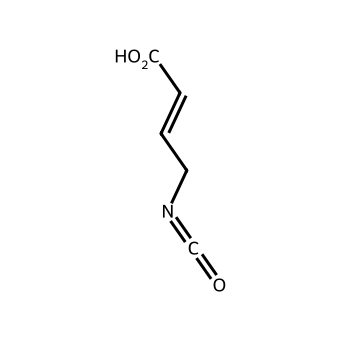 O=C=NCC=CC(=O)O